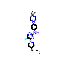 CC(=O)N1CCN(c2ccc(Nc3ncc(F)c(N4CCC([AsH2])CC4)n3)cc2)CC1